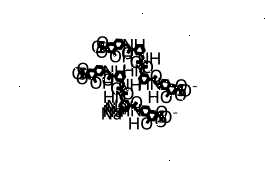 O=C(Nc1cccc(C(=O)Nc2ccc3cc(S(=O)(=O)[O-])cc(O)c3c2)c1)C(=O)Nc1cccc(C(=O)Nc2ccc3cc(S(=O)(=O)[O-])cc(O)c3c2)c1.O=C(Nc1cccc(C(=O)Nc2ccc3cc(S(=O)(=O)[O-])cc(O)c3c2)c1)C(=O)Nc1cccc(C(=O)Nc2ccc3cc(S(=O)(=O)[O-])cc(O)c3c2)c1.[Na+].[Na+].[Na+].[Na+]